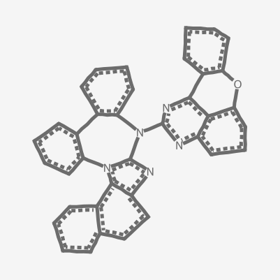 c1ccc2c(c1)Oc1cccc3nc(N4c5ccccc5-c5ccccc5-n5c4nc4ccc6ccccc6c45)nc-2c13